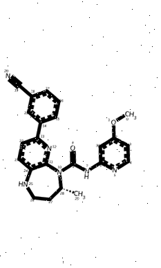 COc1ccnc(NC(=O)N2c3nc(-c4cccc(C#N)c4)ccc3NCC[C@H]2C)c1